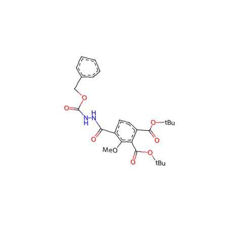 COc1c(C(=O)NNC(=O)OCc2ccccc2)ccc(C(=O)OC(C)(C)C)c1C(=O)OC(C)(C)C